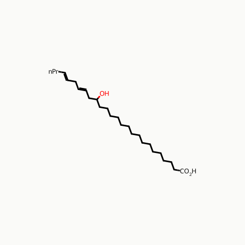 CCCC=CCC=CCC(O)CCCCCCCCCCCCCCCC(=O)O